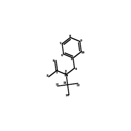 C=C(C)N(Cc1ccccc1)C(C)(C)C